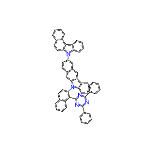 c1ccc(-c2nc(-c3ccccc3)nc(-c3c(-n4c5ccccc5c5cc6cc(-n7c8ccccc8c8c9ccccc9ccc87)ccc6cc54)ccc4ccccc34)n2)cc1